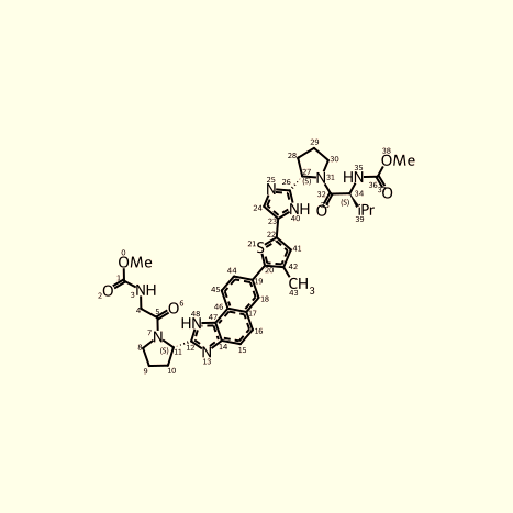 COC(=O)NCC(=O)N1CCC[C@H]1c1nc2ccc3cc(-c4sc(-c5cnc([C@@H]6CCCN6C(=O)[C@@H](NC(=O)OC)C(C)C)[nH]5)cc4C)ccc3c2[nH]1